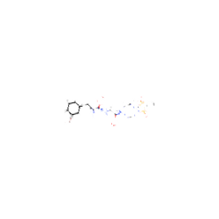 CS(=O)(=O)N1CCN(C(=O)CNC(=O)/C=C/c2cccc(Br)c2)CC1